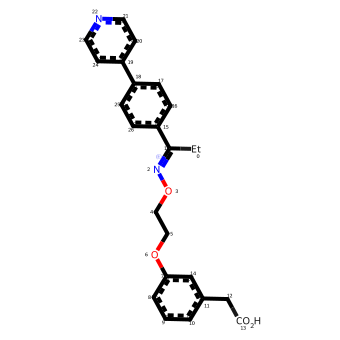 CC/C(=N\OCCOc1cccc(CC(=O)O)c1)c1ccc(-c2ccncc2)cc1